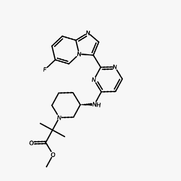 COC(=O)C(C)(C)N1CCC[C@@H](Nc2ccnc(-c3cnc4ccc(F)cn34)n2)C1